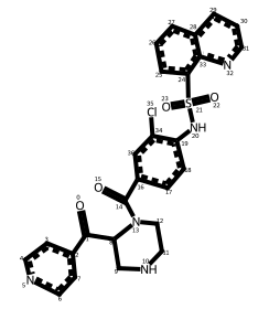 O=C(c1ccncc1)C1CNCCN1C(=O)c1ccc(NS(=O)(=O)c2cccc3cccnc23)c(Cl)c1